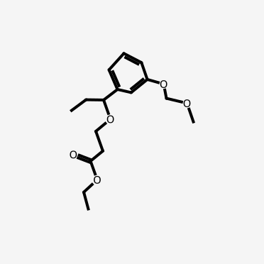 CCOC(=O)CCOC(CC)c1cccc(OCOC)c1